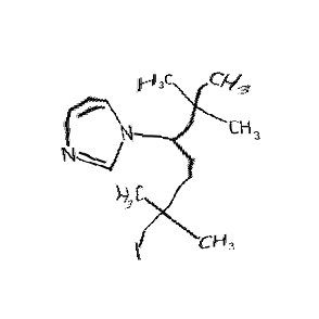 CC(C)(I)CC(n1ccnc1)C(C)(C)C